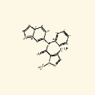 Cn1ncc(C(=O)O)c1C(=O)N(c1ccccc1)c1cc2nccn2cn1